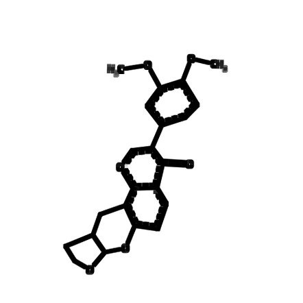 COc1ccc(-c2coc3c4c(ccc3c2=O)OC2OCCC2C4)cc1OC